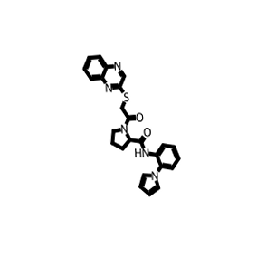 O=C(Nc1ccccc1-n1cccc1)C1CCCN1C(=O)CSc1cnc2ccccc2n1